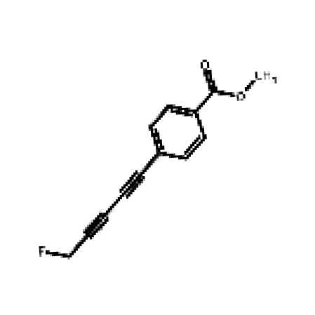 COC(=O)c1ccc(C#CC#CCF)cc1